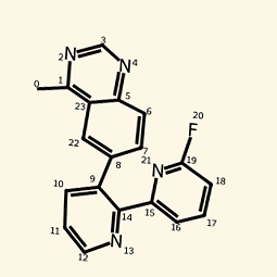 Cc1ncnc2ccc(-c3cccnc3-c3cccc(F)n3)cc12